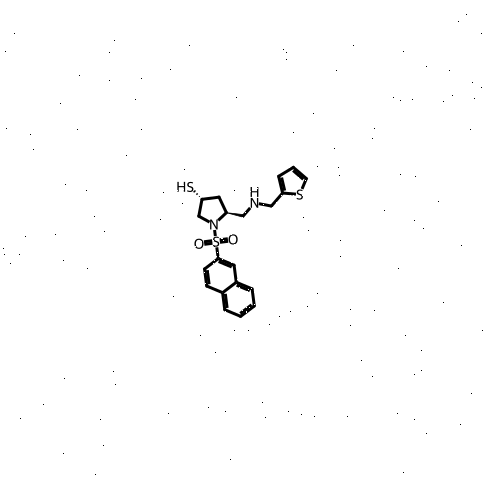 O=S(=O)(c1ccc2ccccc2c1)N1C[C@H](S)C[C@H]1CNCc1cccs1